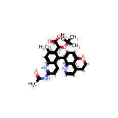 CC(=O)Nc1ccc2c(-c3ccc4c5c(ccnc35)CCO4)c(C(OC(C)(C)C)C(=O)O)c(C)cc2n1